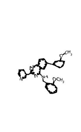 COc1cccc(-c2ccc3nc(-c4cccnc4)nc(NCc4ccccc4OC)c3c2)c1